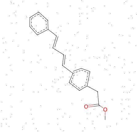 COC(=O)Cc1ccc(C=CC=Cc2ccccc2)cc1